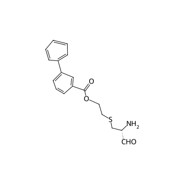 N[C@H](C=O)CSCCOC(=O)c1cccc(-c2ccccc2)c1